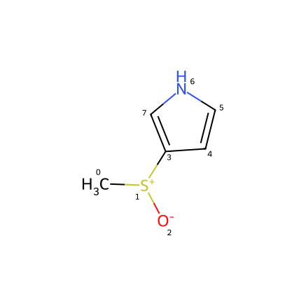 C[S+]([O-])c1cc[nH]c1